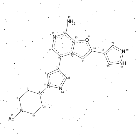 CC(=O)N1CCC(n2cc(-c3cnc(N)c4oc(-c5cn[nH]c5)cc34)cn2)CC1